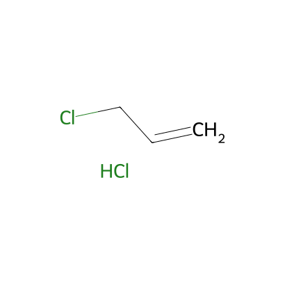 C=CCCl.Cl